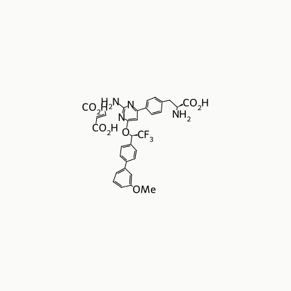 COc1cccc(-c2ccc([C@@H](Oc3cc(-c4ccc(C[C@H](N)C(=O)O)cc4)nc(N)n3)C(F)(F)F)cc2)c1.O=C(O)C=CC(=O)O